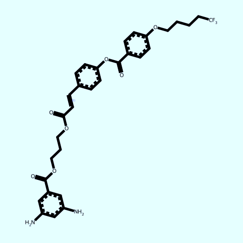 Nc1cc(N)cc(C(=O)OCCCOC(=O)/C=C/c2ccc(OC(=O)c3ccc(OCCCCC(F)(F)F)cc3)cc2)c1